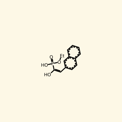 CCOP(=O)(O)C(O)=Cc1ccc2ccccc2c1